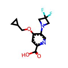 O=C(O)c1cc(OCC2CC2)c(N2CC(F)(F)C2)cn1